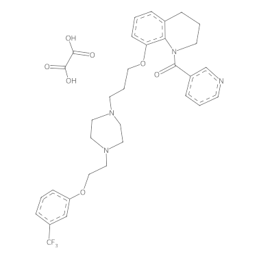 O=C(O)C(=O)O.O=C(c1cccnc1)N1CCCc2cccc(OCCCN3CCN(CCOc4cccc(C(F)(F)F)c4)CC3)c21